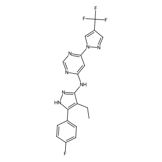 CCc1c(Nc2cc(-n3cc(C(F)(F)F)cn3)ncn2)n[nH]c1-c1ccc(F)cc1